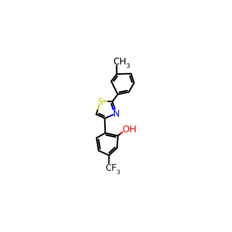 Cc1cccc(-c2nc(-c3ccc(C(F)(F)F)cc3O)cs2)c1